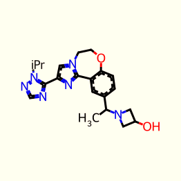 CC(c1ccc2c(c1)-c1nc(-c3ncnn3C(C)C)cn1CCO2)N1CC(O)C1